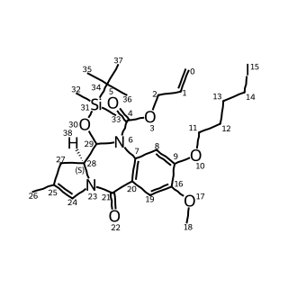 C=CCOC(=O)N1c2cc(OCCCCI)c(OC)cc2C(=O)N2C=C(C)C[C@H]2C1O[Si](C)(C)C(C)(C)C